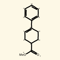 COC(=O)C1CC=C(c2ccccc2)CC1